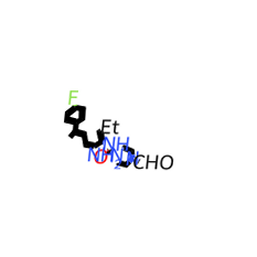 CC/C=C(NC(=O)N1CCN(C=O)CC1)/C(N)=C\C=C(/C)c1ccc(F)cc1